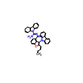 C=C/C=C\c1oc2cccc(C(=N)/N=C(\N)n3c4c(c5ccccc53)CCC=C4)c2c1-n1c2ccccc2c2ccccc21